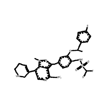 CC(Oc1cc(-c2nn(C)c3c(C4=CCCNC4)cnc(N)c23)ccc1NS(=O)(=O)C(F)F)c1ccc(F)cc1